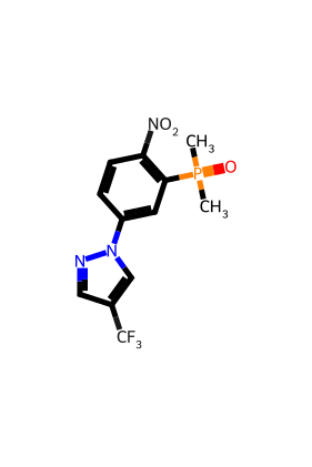 CP(C)(=O)c1cc(-n2cc(C(F)(F)F)cn2)ccc1[N+](=O)[O-]